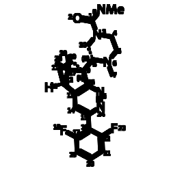 CNC(=O)N1CCN(C)[C@H]([C@@]23CC[C@@H](c4cc(-c5c(F)cccc5F)nnc42)C3(C)C)C1